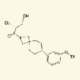 CCOc1cccc(C2CCC3(CC2)CN(C(=O)[C@H](CC)CO)C3)c1